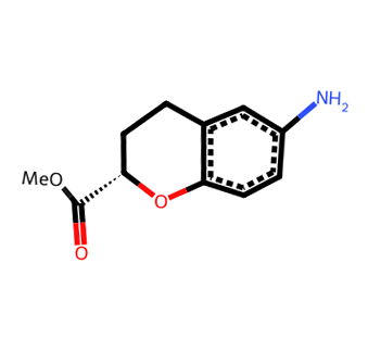 COC(=O)[C@@H]1CCc2cc(N)ccc2O1